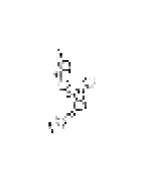 C=[N+]([O-])c1ncc(COc2cnc3cc(N4CCOCC4)nc(O[C@H]4CC[C@@H](Nc5nc(C)cc(C#N)n5)CC4)c3c2)n1C